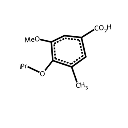 COc1cc(C(=O)O)cc(C)c1OC(C)C